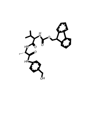 CC(C)C(NC(=O)OCC1c2ccccc2-c2ccccc21)C(=O)N[C@@H](C)C(=O)Nc1ccc(CO)cc1